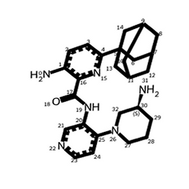 Nc1ccc(C23CC4CC(CC(C4)C2)C3)nc1C(=O)Nc1cnccc1N1CCC[C@H](N)C1